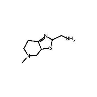 CN1CCC2=NC(CN)SC2C1